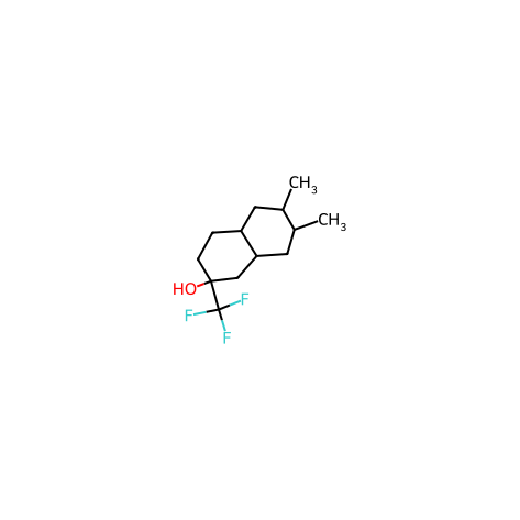 CC1CC2CCC(O)(C(F)(F)F)CC2CC1C